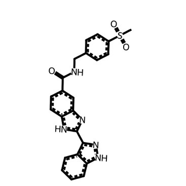 CS(=O)(=O)c1ccc(CNC(=O)c2ccc3[nH]c(-c4n[nH]c5ccccc45)nc3c2)cc1